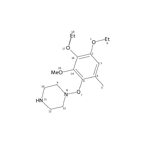 CCOc1[c]c(C)c(ON2CCNCC2)c(OC)c1OCC